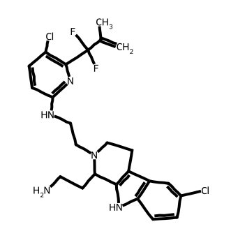 C=C(C)C(F)(F)c1nc(NCCN2CCc3c([nH]c4ccc(Cl)cc34)C2CCN)ccc1Cl